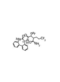 CCCC(C(=O)N[C@@H]1C(=O)Nc2ccccc2-c2ccccc21)C(CCC(F)(F)F)C(N)=O